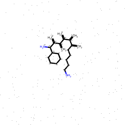 C=C(CCCCCN)C(=C)C(=C)C(=C)C(=C)C(N)C1CCCCC1